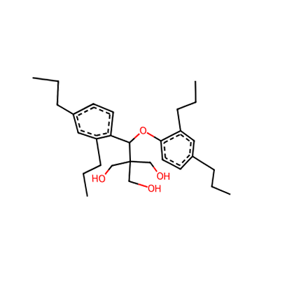 CCCc1ccc(OC(c2ccc(CCC)cc2CCC)C(CO)(CO)CO)c(CCC)c1